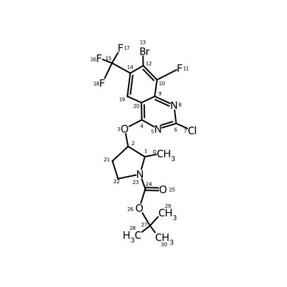 CC1C(Oc2nc(Cl)nc3c(F)c(Br)c(C(F)(F)F)cc23)CCN1C(=O)OC(C)(C)C